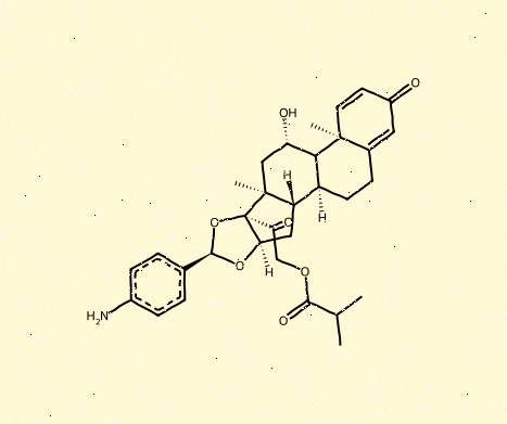 CC(C)C(=O)OCC(=O)[C@@]12O[C@H](c3ccc(N)cc3)O[C@@H]1C[C@H]1[C@@H]3CCC4=CC(=O)C=C[C@]4(C)C3[C@@H](O)C[C@@]12C